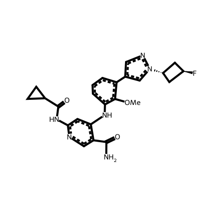 COc1c(Nc2cc(NC(=O)C3CC3)ncc2C(N)=O)cccc1-c1cnn([C@H]2C[C@H](F)C2)c1